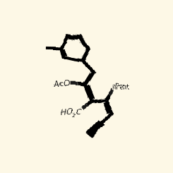 C#C/C=C(CCCCC)\C(C(=O)O)=C(/CC1C=C(C)CCC1)OC(C)=O